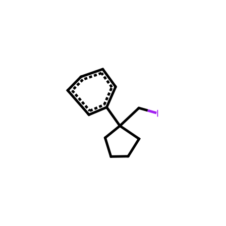 ICC1(c2ccccc2)CCCC1